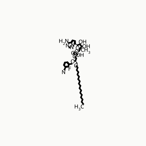 CCCCCCCCCCCCCCCCCCOC[C@H](COP(=O)(O)OC[C@@]1(C)O[C@@H](c2ccc3c(N)ncnn23)[C@H](O)[C@@H]1O)OCc1cccc(C#N)c1F